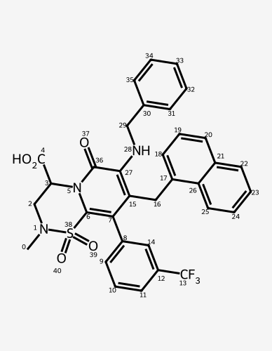 CN1CC(C(=O)O)n2c(c(-c3cccc(C(F)(F)F)c3)c(Cc3cccc4ccccc34)c(NCc3ccccc3)c2=O)S1(=O)=O